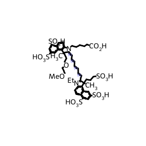 CC[N+]1=C(/C=C/C=C/C=C/C=C2/N(CCCCCC(=O)O)c3ccc4c(S(=O)(=O)O)cc(S(=O)(=O)O)cc4c3C2(C)CCOCCOC)C(C)(CCCS(=O)(=O)O)c2c1ccc1c(S(=O)(=O)O)cc(S(=O)(=O)O)cc21